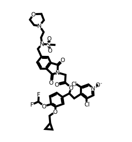 CS(=O)(=O)N(CCN1CCOCC1)Cc1ccc2c(c1)C(=O)N(CC(=O)OC(Cc1c(Cl)c[n+]([O-])cc1Cl)c1ccc(OC(F)F)c(OCC3CC3)c1)C2=O